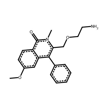 COc1ccc2c(=O)n(C)c(COCCN)c(-c3ccccc3)c2c1